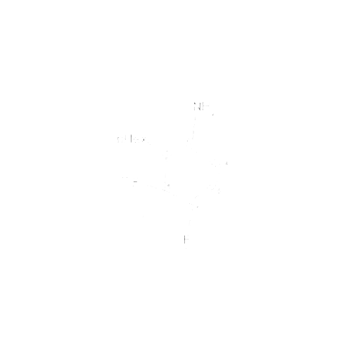 CCCCCCC1C(N)=CC=C(F)C1(C)F